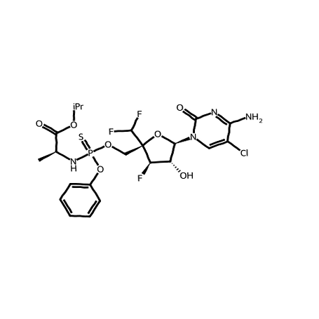 CC(C)OC(=O)[C@H](C)NP(=S)(OC[C@@]1(C(F)F)O[C@@H](n2cc(Cl)c(N)nc2=O)[C@H](O)[C@H]1F)Oc1ccccc1